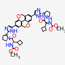 COC(=O)NC(C(=O)N1CCC[C@H]1c1ncc(-c2cc3c4c(c2)OCc2cc(-c5cnc([C@@H]6CCCN6C(=O)[C@@H](NC(=O)OC)C6CCC6)[nH]5)cc(c2-4)OC3)[nH]1)C1CCC1